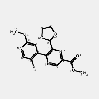 COC(=O)c1cnc(-c2cc(OC)ncc2F)c(C2OCCO2)n1